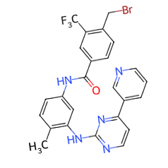 Cc1ccc(NC(=O)c2ccc(CBr)c(C(F)(F)F)c2)cc1Nc1nccc(-c2cccnc2)n1